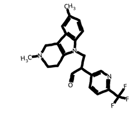 Cc1ccc2c(c1)c1c(n2CC(C=O)c2ccc(C(F)(F)F)nc2)CCN(C)C1